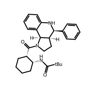 CC(C)(C)C(=O)N[C@@H]1CCCC[C@@H]1C(=O)N1CC[C@@H]2[C@H](c3ccccc3)Nc3ccccc3[C@@H]21